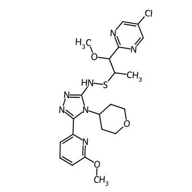 COc1cccc(-c2nnc(NSC(C)C(OC)c3ncc(Cl)cn3)n2C2CCOCC2)n1